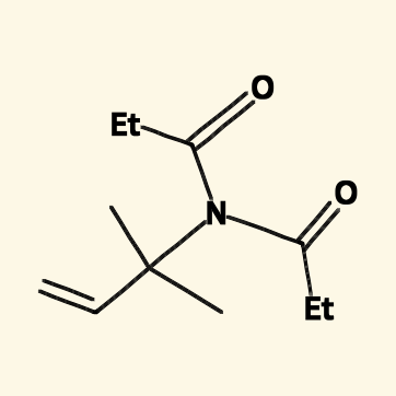 C=CC(C)(C)N(C(=O)CC)C(=O)CC